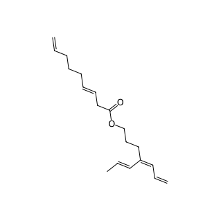 C=CC=C(C=CC)CCCOC(=O)CC=CCCCC=C